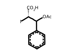 CC(=O)OC(c1ccccc1)[C@H](I)C(=O)O